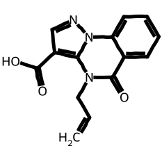 C=CCn1c(=O)c2ccccc2n2ncc(C(=O)O)c12